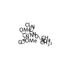 COCc1cc(-c2nn(COCC[Si](C)(C)C)c3cnc(Cl)cc23)nc([C@]2(OC)CCOC2)c1